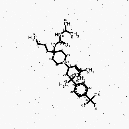 CCCCC1(OC(=O)NC(C)C)CCN(C(C=C(C)C)CC(C)(C)c2ccc(C(F)(F)F)cc2)CC1